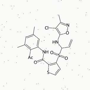 C=CC(Nc1onc(C)c1Cl)S(=O)(=O)c1ccsc1C(=O)Nc1cc(C)cc(C)c1C(C)=O